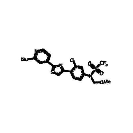 COCN(c1ccc(-c2csc(-c3ccnc(C(C)(C)C)c3)n2)c(Cl)c1)S(=O)(=O)C(F)(F)F